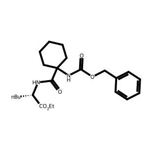 CCCC[C@H](NC(=O)C1(NC(=O)OCc2ccccc2)CCCCC1)C(=O)OCC